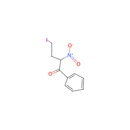 O=C(c1ccccc1)C(CCI)[N+](=O)[O-]